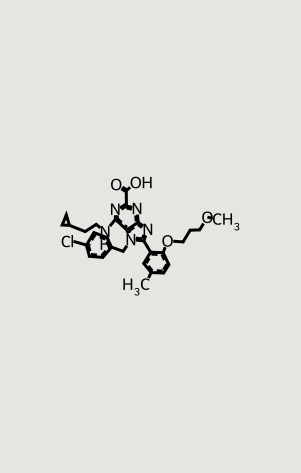 COCCCOc1ccc(C)cc1-c1nc2nc(C(=O)O)nc(NCCC3CC3)c2n1Cc1ccc(Cl)cc1